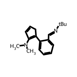 CN(C)C1=C(c2ccccc2C=NC(C)(C)C)CC=C1